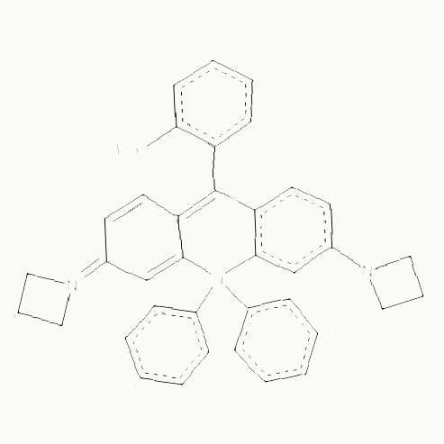 Cc1ccccc1C1=C2C=CC(=[N+]3CCC3)C=C2[Si](c2ccccc2)(c2ccccc2)c2cc(N3CCC3)ccc21